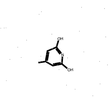 Cc1cc(O)nc(O)c1